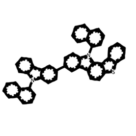 c1ccc2c(-n3c4ccccc4c4cc(-c5ccc6c(c5)c5ccc7sc8ccccc8c7c5n6-c5cccc6ccccc56)ccc43)cccc2c1